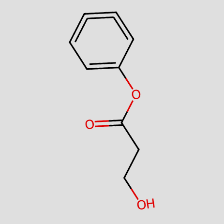 O=C(CCO)OC1=CC=C=C=C1